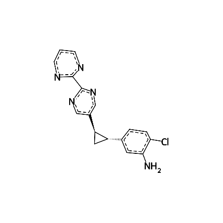 Nc1cc([C@@H]2C[C@H]2c2cnc(-c3ncccn3)nc2)ccc1Cl